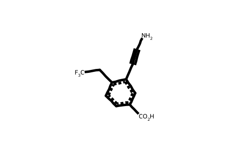 NC#Cc1cc(C(=O)O)ccc1CC(F)(F)F